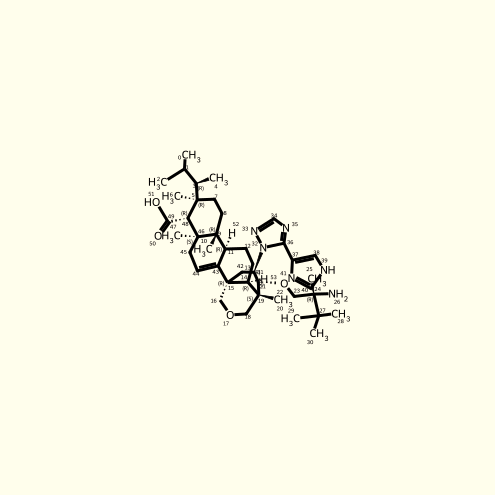 CC(C)[C@@H](C)[C@@]1(C)CC[C@]2(C)[C@H]3CC[C@@H]4[C@@]5(COC[C@@]4(C)[C@@H](OC[C@](C)(N)C(C)(C)C)[C@H](n4ncnc4-c4c[nH]cn4)C5)C3=CC[C@@]2(C)[C@@H]1C(=O)O